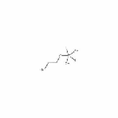 CCCCCCOP(O)(S)(I)I